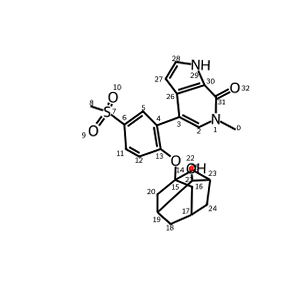 Cn1cc(-c2cc(S(C)(=O)=O)ccc2OC23CC4CC(C2)C(O)C(C4)C3)c2cc[nH]c2c1=O